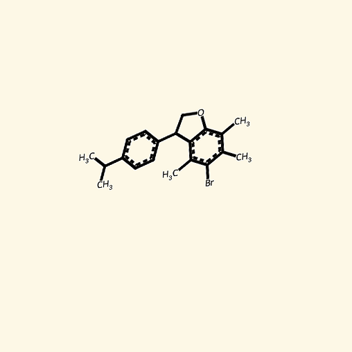 Cc1c(C)c2c(c(C)c1Br)C(c1ccc(C(C)C)cc1)CO2